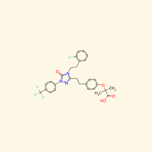 CC(C)(Oc1ccc(CCc2nn(-c3ccc(C(F)(F)F)cc3)c(=O)n2CCc2ccccc2F)cc1)C(=O)O